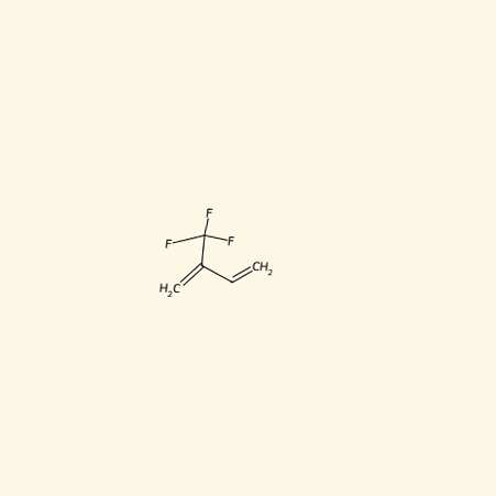 C=CC(=C)C(F)(F)F